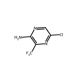 Nc1ncc(Cl)nc1C(F)(F)F